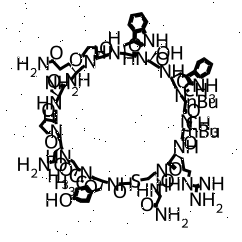 CCCC[C@H]1C(=O)N(C)[C@@H](CCCC)C(=O)N[C@@H](CCCNC(=N)N)C(=O)N[C@H](C(=O)NCC(N)=O)CSCC(=O)N[C@@H](Cc2ccc(O)cc2)C(=O)N(C)[C@@H](C)C(=O)N[C@@H](CC(N)=O)C(=O)N2CCC[C@H]2C(=O)N[C@@H](CN)C(=O)N[C@@H](CCC(N)=O)C(=O)N2CCC[C@H]2C(=O)N[C@@H](Cc2c[nH]c3ccccc23)C(=O)N[C@@H](CO)C(=O)N[C@@H](Cc2c[nH]c3ccccc23)C(=O)N1C